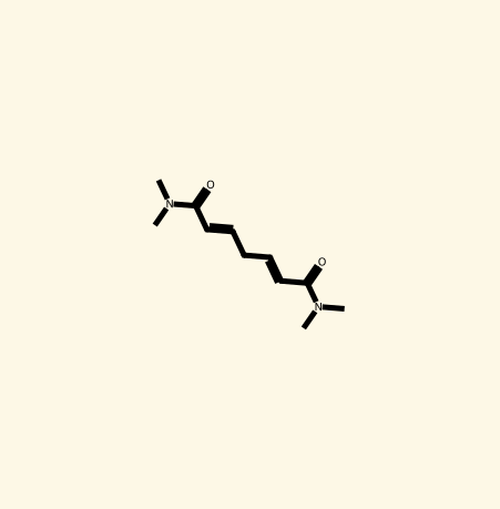 CN(C)C(=O)C=CCC=CC(=O)N(C)C